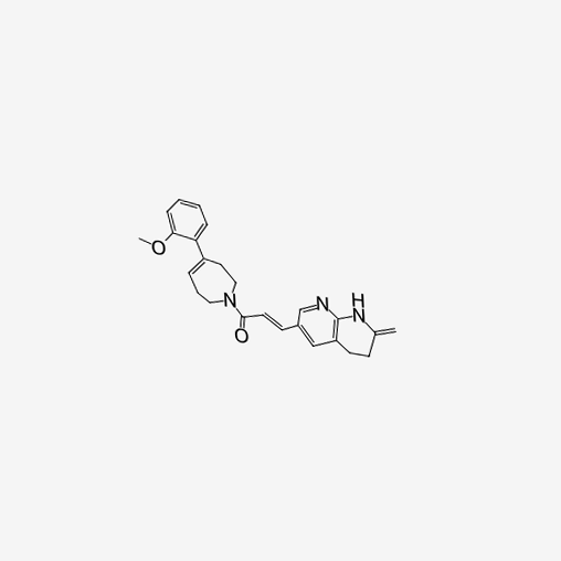 C=C1CCc2cc(/C=C/C(=O)N3CCC=C(c4ccccc4OC)CC3)cnc2N1